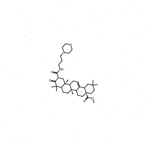 COC(=O)[C@]12CCC(C)(C)CC1C1=CCC3[C@@]4(C)CC(C(=O)NCCCN5CCOCC5)C(=O)C(C)(C)C4CC[C@@]3(C)[C@]1(C)CC2